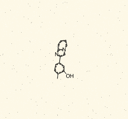 Cc1ccc(-c2cn3ccccc3n2)cc1O